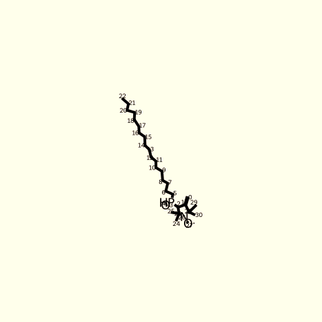 C=C1C([PH](=O)CCCCCCCCCCCCCCCCCC)C(C)(C)N([O])C1(C)C